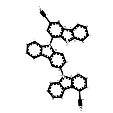 N#Cc1cc(-n2c3ccccc3c3cc(-n4c5ccccc5c5c(C#N)cccc54)ccc32)c2oc3ccccc3c2c1